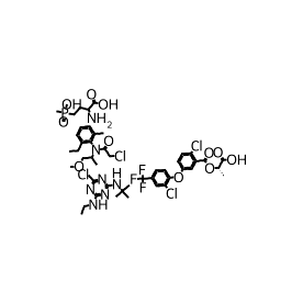 CCNc1nc(Cl)nc(NC(C)(C)C)n1.CCc1cccc(C)c1N(C(=O)CCl)C(C)COC.CP(=O)(O)CCC(N)C(=O)O.C[C@H](OC(=O)c1cc(Oc2ccc(C(F)(F)F)cc2Cl)ccc1Cl)C(=O)O